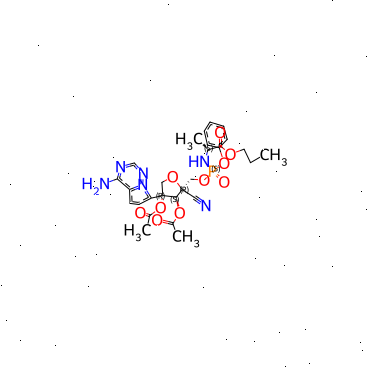 CCCOC(=O)[C@H](C)N[P@](=O)(OC[C@@]1(C#N)OC[C@](OC(C)=O)(c2ccc3c(N)ncnn23)[C@@H]1OC(C)=O)Oc1ccccc1